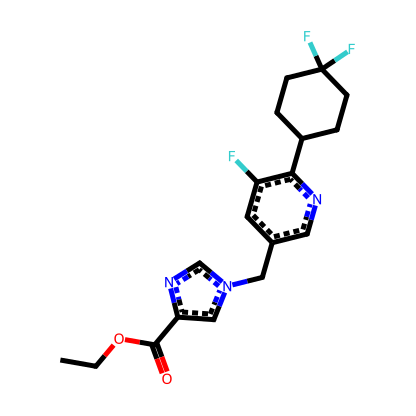 CCOC(=O)c1cn(Cc2cnc(C3CCC(F)(F)CC3)c(F)c2)cn1